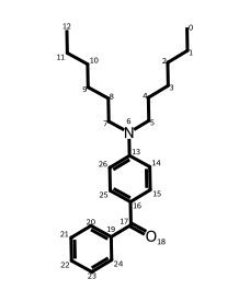 CCCCCCN(CCCCCC)c1ccc(C(=O)c2ccccc2)cc1